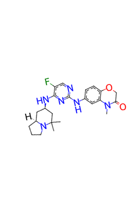 CN1C(=O)COc2ccc(Nc3ncc(F)c(N[C@@H]4C[C@@H]5CCCN5C(C)(C)C4)n3)cc21